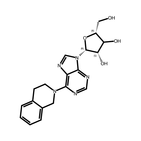 OC[C@H]1O[C@@H](n2cnc3c(N4CCc5ccccc5C4)ncnc32)[C@@H](O)C1O